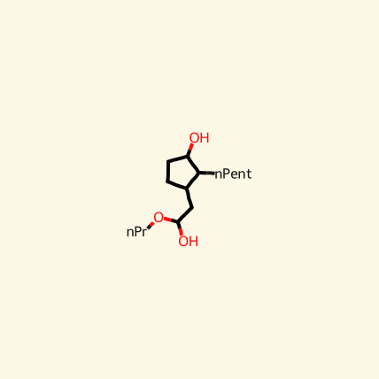 CCCCCC1C(O)CCC1CC(O)OCCC